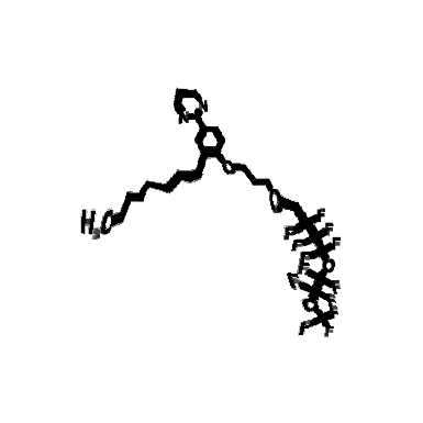 CCCCCCCCc1cc(-c2ncccn2)ccc1OCCCOCC(F)(F)C(F)(F)C(F)(F)OC(F)(F)C(F)(F)OC(F)(F)F